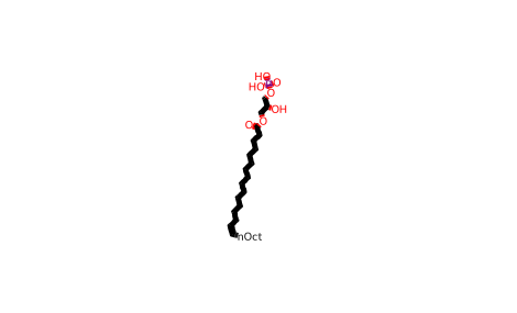 CCCCCCCC/C=C\CCCCCCCCCCCCCC(=O)OCC(O)COP(=O)(O)O